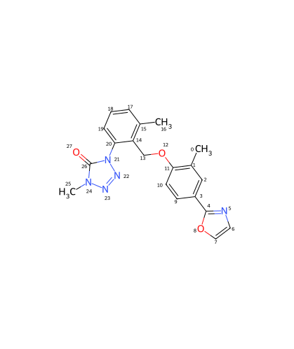 Cc1cc(-c2ncco2)ccc1OCc1c(C)cccc1-n1nnn(C)c1=O